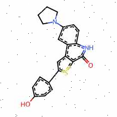 O=c1[nH]c2ccc(N3CCCC3)cc2c2cc(-c3ccc(O)cc3)sc12